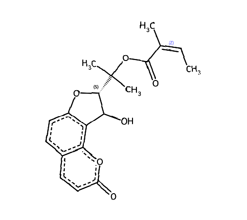 C/C=C(/C)C(=O)OC(C)(C)[C@H]1Oc2ccc3ccc(=O)oc3c2C1O